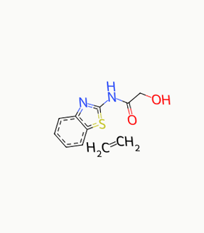 C=C.O=C(CO)Nc1nc2ccccc2s1